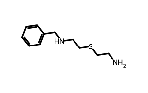 NCCSCCNCc1ccccc1